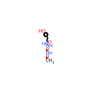 CCOCNCOCNNC(=O)CCc1ccc(O)cc1